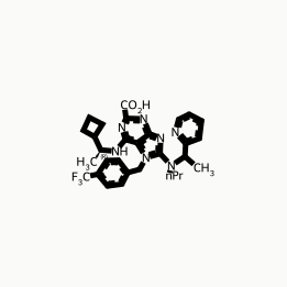 CCCN(c1nc2nc(C(=O)O)nc(N[C@H](C)C3CCC3)c2n1Cc1ccc(C(F)(F)F)cc1)C(C)c1ccccn1